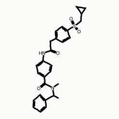 CC(c1ccccc1)N(C)C(=O)c1ccc(NC(=O)Cc2ccc(S(=O)(=O)CC3CC3)cc2)cc1